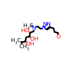 CC(C)[C@@H](O)C[C@H](O)C(O)CN(C)CCn1cc(CCC=O)nn1